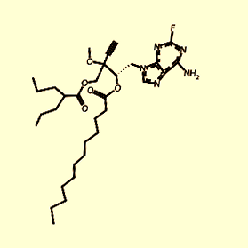 C#CC(COC(=O)C(CCC)CCC)(OC)[C@H](Cn1cnc2c(N)nc(F)nc21)OC(=O)CCCCCCCCCCC